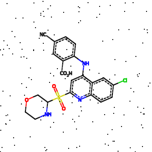 N#Cc1ccc(Nc2cc(S(=O)(=O)C3COCCN3)nc3ccc(Cl)cc23)c(C(=O)O)c1